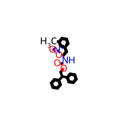 Cc1cccc2cc(NC(=O)OCC(c3ccccc3)c3ccccc3)o[n+](=O)c12